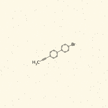 CC#Cc1ccc(-c2ccc(Br)cc2)cc1